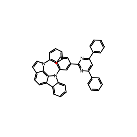 c1ccc(-c2cc(-c3ccccc3)nc(-c3cccc(-n4c5ccccc5c5ccc6ccn(-c7ccccc7)c6c54)c3)n2)cc1